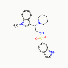 Cn1cc(C(CNS(=O)(=O)c2ccc3cc[nH]c3c2)N2CCCCC2)c2ccccc21